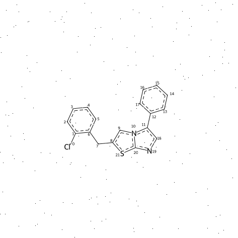 Clc1ccccc1Cc1cn2c(-c3ccccc3)cnc2s1